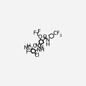 Cn1c(Nc2cc(C#N)c(F)cc2Cl)nc2cc(C(=O)NC3CCC(C(F)(F)F)CC3)c(OCC(F)F)cc21